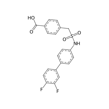 O=C(O)c1ccc(CS(=O)(=O)Nc2ccc(-c3ccc(F)c(F)c3)cc2)cc1